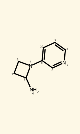 NC1CCN1c1[c]nccc1